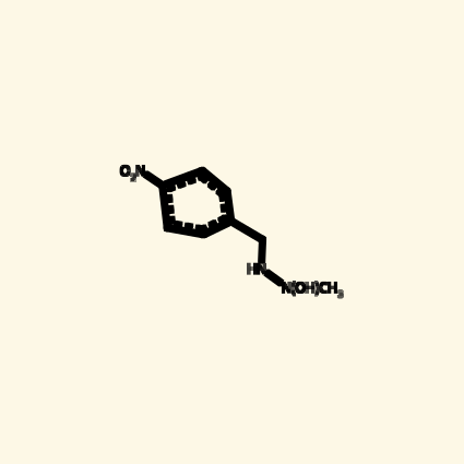 CN(O)NCc1ccc([N+](=O)[O-])cc1